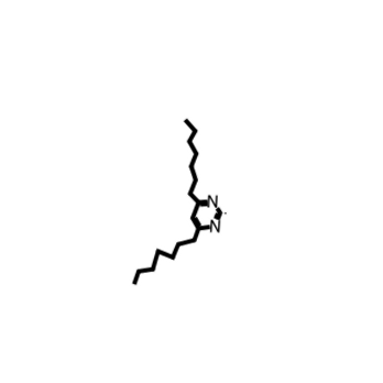 CCCCCCCc1cc(CCCCCCC)n[c]n1